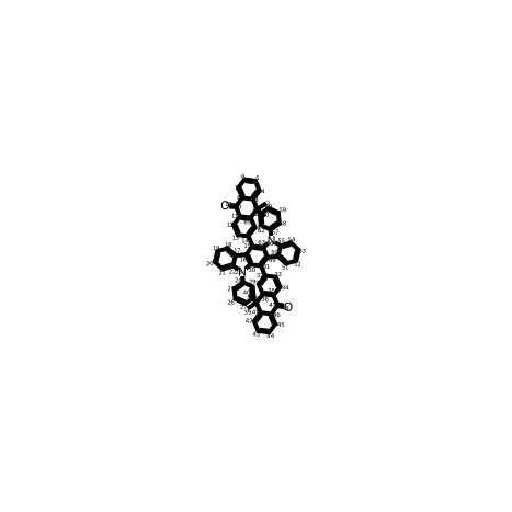 CC1(C)c2ccccc2C(=O)c2ccc(-c3c4c5ccccc5n(-c5ccccc5)c4c(-c4ccc5c(c4)C(C)(C)c4ccccc4C5=O)c4c5ccccc5n(-c5ccccc5)c34)cc21